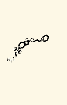 CCCS(=O)(=O)N1CCc2sc(OCCCN3CCCCC3)cc2C1